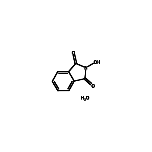 O.O=C1c2ccccc2C(=O)N1O